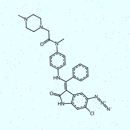 CN1CCN(CC(=O)N(C)c2ccc(N/C(=C3\C(=O)Nc4cc(Cl)c(N=[N+]=[N-])cc43)c3ccccc3)cc2)CC1